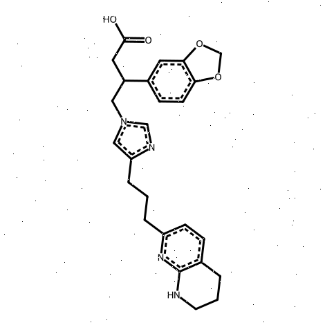 O=C(O)CC(Cn1cnc(CCCc2ccc3c(n2)NCCC3)c1)c1ccc2c(c1)OCO2